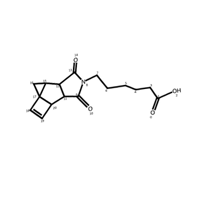 O=C(O)CCCCCN1C(=O)C2C(C1=O)C1CC13C=CC23